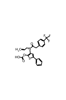 C=CCN(C(=O)Cc1ccc(C(F)(F)F)cc1)c1cc(-c2ccccc2)sc1OC(=O)O